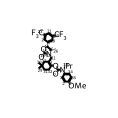 COc1ccc(N(C(=O)OC2=C(CN3C(=O)O[C@H](c4cc(C(F)(F)F)cc(C(F)(F)F)c4)[C@@H]3C)CC(C)(C)CC2)C(C)C)cc1